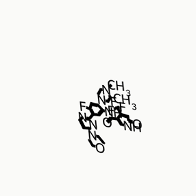 C[C@@H]1CN(c2cc(F)c(-c3nccc(N4CCOCC4)n3)cc2NC(=O)c2c[nH]c(=O)cc2C(F)(F)F)CCN1C